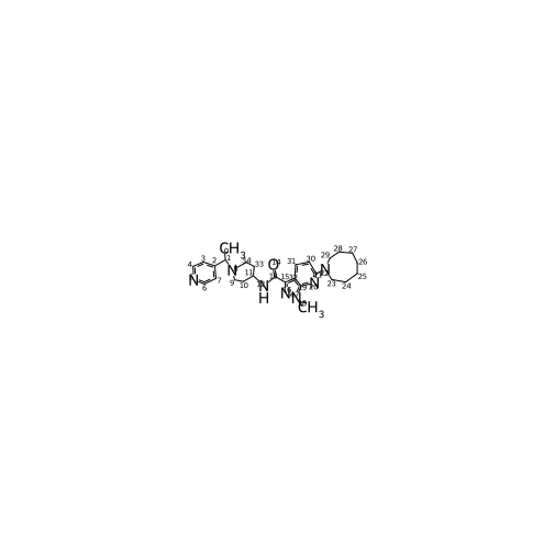 CC(c1ccncc1)N1CCC(NC(=O)c2nn(C)c3nc(N4CCCCCCC4)ccc23)CC1